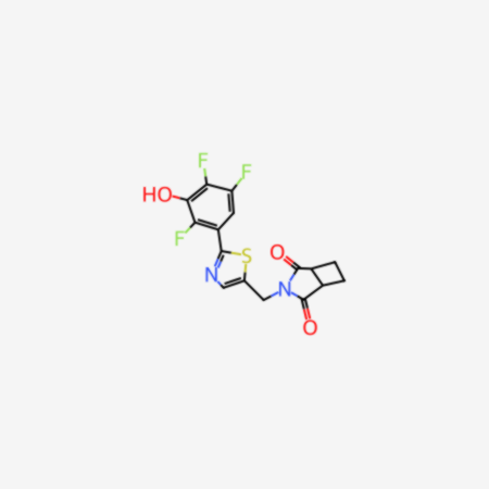 O=C1C2CCC2C(=O)N1Cc1cnc(-c2cc(F)c(F)c(O)c2F)s1